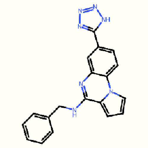 c1ccc(CNc2nc3cc(-c4nnn[nH]4)ccc3n3cccc23)cc1